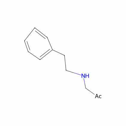 CC(=O)CNCCc1ccccc1